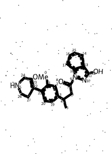 COc1cc(C(C)CC(=O)n2nc(O)c3ccccc32)ccc1C1=CCNCC1